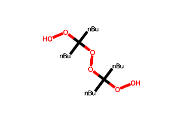 CCCCC(CCCC)(OO)OOC(CCCC)(CCCC)OO